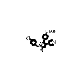 COc1ccc(-c2nn(Cc3ccc(Cl)cc3)c(=S)cc2-c2ccncc2)cc1